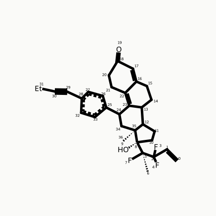 C=CC(F)(F)[C@@](C)(F)[C@]1(O)CCC2C3CCC4=CC(=O)CCC4=C3C(c3ccc(C#CCC)cc3)C[C@@]21C